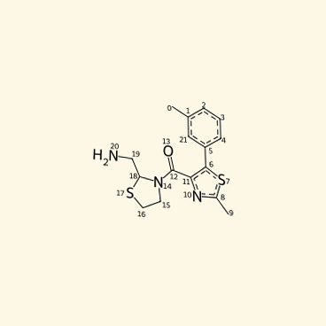 Cc1cccc(-c2sc(C)nc2C(=O)N2CCSC2CN)c1